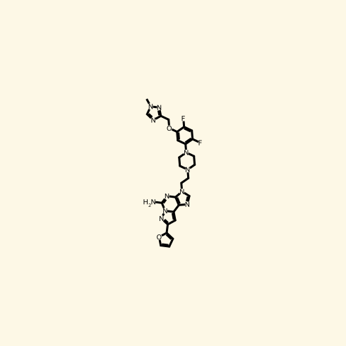 Cn1cnc(COc2cc(N3CCN(CCn4cnc5c4nc(N)n4nc(-c6ccco6)cc54)CC3)c(F)cc2F)n1